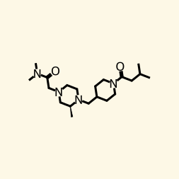 CC(C)CC(=O)N1CCC(CN2CCN(CC(=O)N(C)C)C[C@@H]2C)CC1